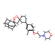 Cc1cc(C2CCC[C@@]3(C2)CC2(OO3)C3CC4CC(C3)CC2C4)ccc1OCCN1CCOCC1